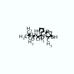 C[C@H](NC(=O)[C@H]1CCCN1C(=O)[C@@H](C)NC(=O)OC(C)(C)C)C(=O)O